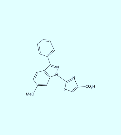 COc1ccc2c(-c3ccccc3)nn(-c3nc(C(=O)O)cs3)c2c1